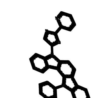 c1ccc(-n2c3ccccc3c3ccc4c(c5ccccc5n4-c4cnc(-c5ccccn5)o4)c32)cc1